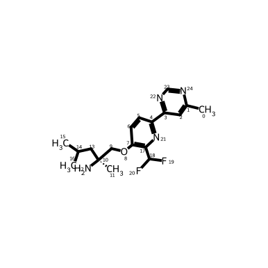 Cc1cc(-c2ccc(OC[C@@](C)(N)CC(C)C)c(C(F)F)n2)ncn1